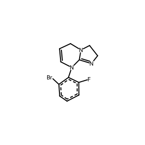 Fc1cccc(Br)c1N1C=CCN2CCN=C21